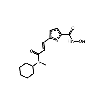 CN(C(=O)C=Cc1ccc(C(=O)NO)s1)C1CCCCC1